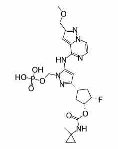 COCc1cc2c(Nc3cc([C@@H]4C[C@H](F)[C@H](OC(=O)NC5(C)CC5)C4)nn3COP(=O)(O)O)nccn2n1